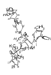 Cc1cc(C)cc(-c2[nH]c3sc(C(C)(C)C(=O)N4C5CCC4CC5)cc3c2OC(C)N2CCN(C3CCS(O)(O)C3)CC2)c1